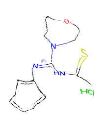 CC(=S)N/C(=N\c1ccccc1)N1CCOCC1.Cl